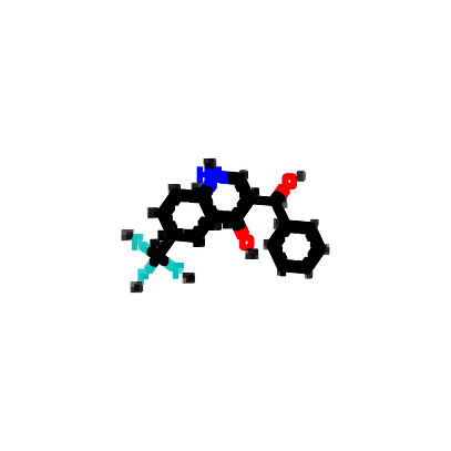 O=C(c1ccccc1)c1c[nH]c2ccc(C(F)(F)F)cc2c1=O